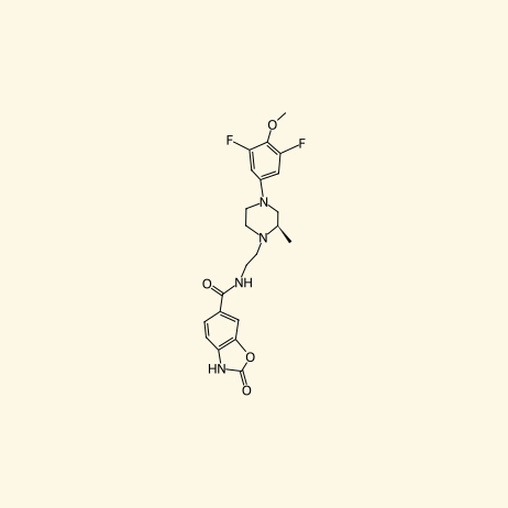 COc1c(F)cc(N2CCN(CCNC(=O)c3ccc4[nH]c(=O)oc4c3)[C@H](C)C2)cc1F